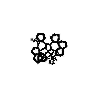 COc1ccc2ccccc2c1C1=C(c2ccccc2)C(c2ccccc2)=C(c2c(OC)ccc3ccccc23)[Si]1(c1ccccc1)C(C)(C)C